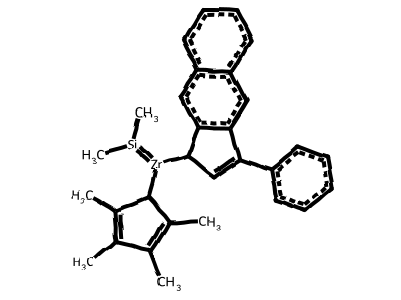 CC1=C(C)[CH]([Zr]([CH]2C=C(c3ccccc3)c3cc4ccccc4cc32)=[Si](C)C)C(C)=C1C